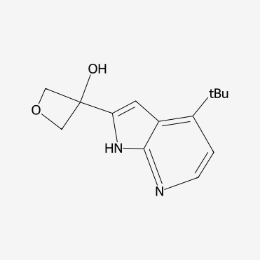 CC(C)(C)c1ccnc2[nH]c(C3(O)COC3)cc12